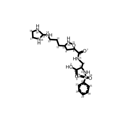 O=C(O)C(CNC(=O)C1CC(CCCNC2NCCN2)NO1)NS(=O)(=O)c1ccccc1